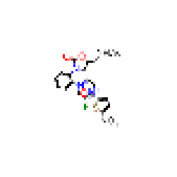 CC(=O)NCC1CN(c2ccccc2[N+]23CC[N@+](c4ccc([N+](=O)[O-])s4)(O2)C(F)C3)C(=O)O1